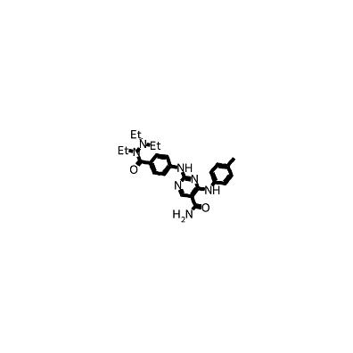 CCN(CC)N(CC)C(=O)c1ccc(Nc2ncc(C(N)=O)c(Nc3ccc(C)cc3)n2)cc1